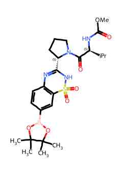 COC(=O)N[C@H](C(=O)N1CCC[C@H]1C1=Nc2ccc(B3OC(C)(C)C(C)(C)O3)cc2S(=O)(=O)N1)C(C)C